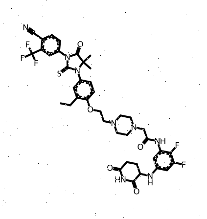 CCc1cc(N2C(=S)N(c3ccc(C#N)c(C(F)(F)F)c3)C(=O)C2(C)C)ccc1OCCN1CCN(CC(=O)Nc2cc(NC3CCC(=O)NC3=O)cc(F)c2F)CC1